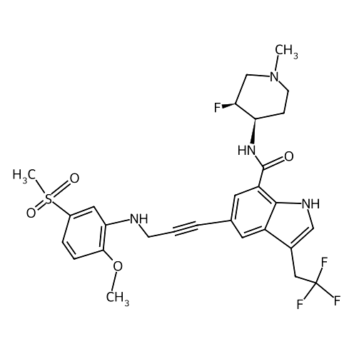 COc1ccc(S(C)(=O)=O)cc1NCC#Cc1cc(C(=O)N[C@@H]2CCN(C)C[C@@H]2F)c2[nH]cc(CC(F)(F)F)c2c1